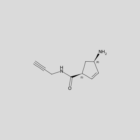 C#CCNC(=O)[C@@H]1C=C[C@H](N)C1